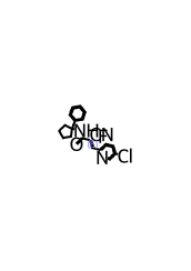 N#C/C(=C\c1ncc(Cl)cc1F)C(=O)NC1(c2ccccc2)CCCC1